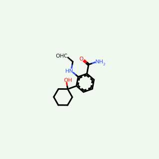 NC(=O)c1cccc(C2(O)CCCCC2)c1NCC=O